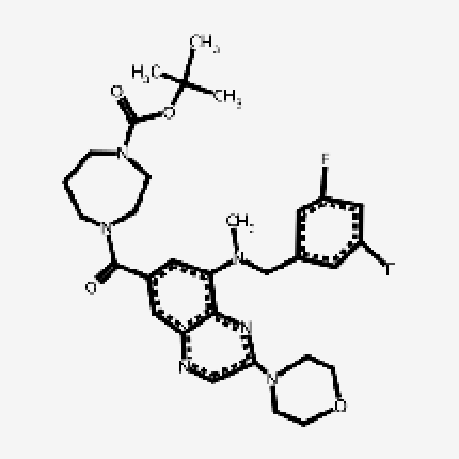 CN(Cc1cc(F)cc(F)c1)c1cc(C(=O)N2CCCN(C(=O)OC(C)(C)C)CC2)cc2ncc(N3CCOCC3)nc12